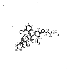 Cc1c2c(n(-c3ccccc3Cl)c1-c1ccc(OCCCC(F)(F)F)cc1)CCN(N1CCCCC1)C2=O